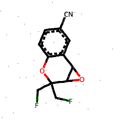 N#Cc1ccc2c(c1)C1OC1C(CF)(CF)O2